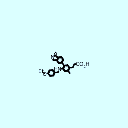 CCOc1ccc(CNc2cc(C)c(CCC(=O)O)cc2-c2ccc3c(cnn3C)c2)cc1